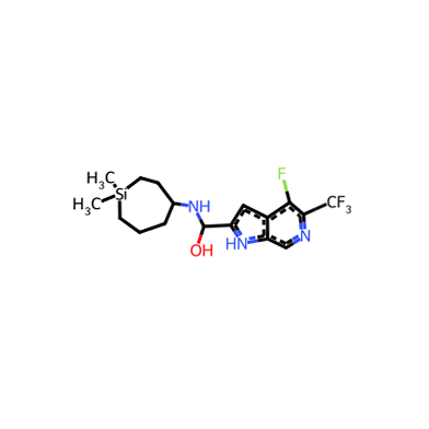 C[Si]1(C)CCCC(NC(O)c2cc3c(F)c(C(F)(F)F)ncc3[nH]2)CC1